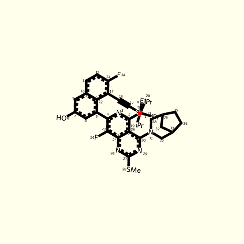 CCOc1nc(-c2cc(O)cc3ccc(F)c(C#C[Si](C(C)C)(C(C)C)C(C)C)c23)c(F)c2nc(SC)nc(N3CC4CCC(C4)C3)c12